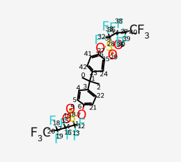 CC(C)(c1ccc(OS(=O)(=O)C(F)(F)C(F)(F)C(F)(F)C(F)(F)F)cc1)c1ccc(OS(=O)(=O)C(F)(F)C(F)(F)C(F)(F)C(F)(F)F)cc1